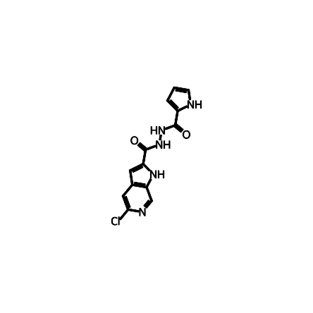 O=C(NNC(=O)c1cc2cc(Cl)ncc2[nH]1)c1ccc[nH]1